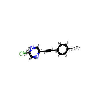 CCCc1ccc(C#Cc2cnc(Cl)cn2)cc1